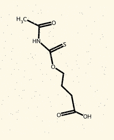 CC(=O)NC(=S)OCCCC(=O)O